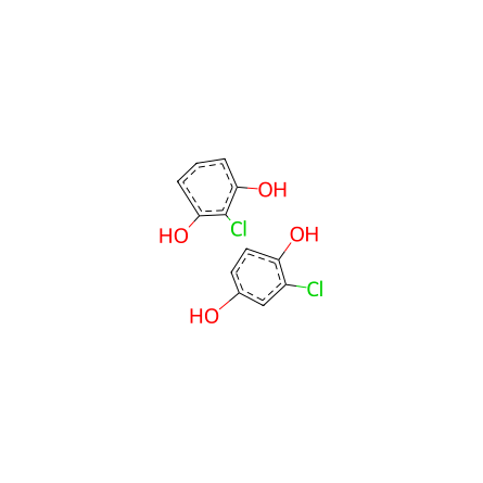 Oc1ccc(O)c(Cl)c1.Oc1cccc(O)c1Cl